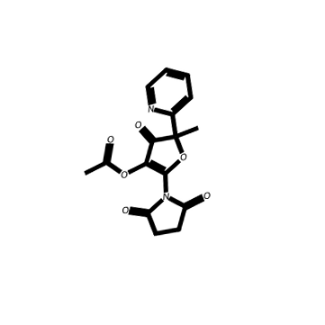 CC(=O)OC1=C(N2C(=O)CCC2=O)OC(C)(c2ccccn2)C1=O